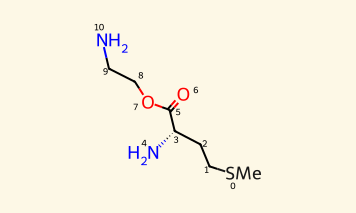 CSCC[C@H](N)C(=O)OCCN